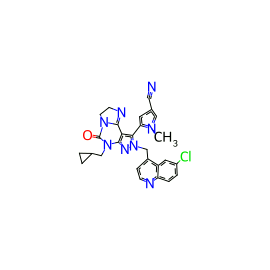 Cn1cc(C#N)cc1-c1c2c(nn1Cc1ccnc3ccc(Cl)cc13)N(CC1CC1)C(=O)N1CCN=C21